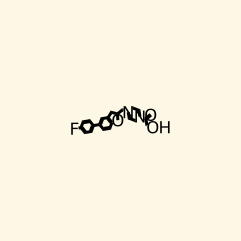 O=C(CO)N1CCN(CC2Cc3cc(-c4ccc(F)cc4)ccc3O2)CC1